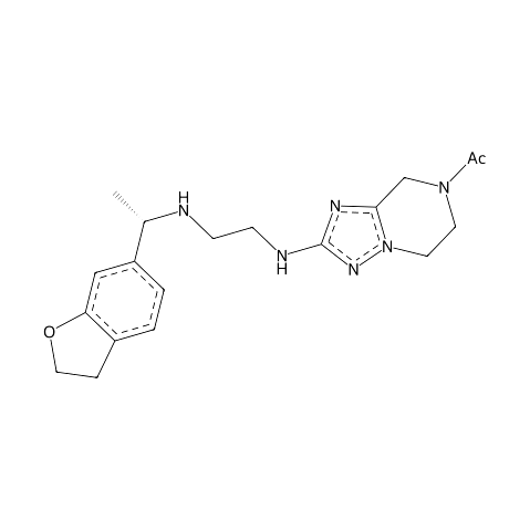 CC(=O)N1CCn2nc(NCCN[C@@H](C)c3ccc4c(c3)OCC4)nc2C1